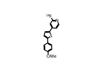 COc1ccc(-c2ccc(-c3ccnc([18F])c3)s2)cc1